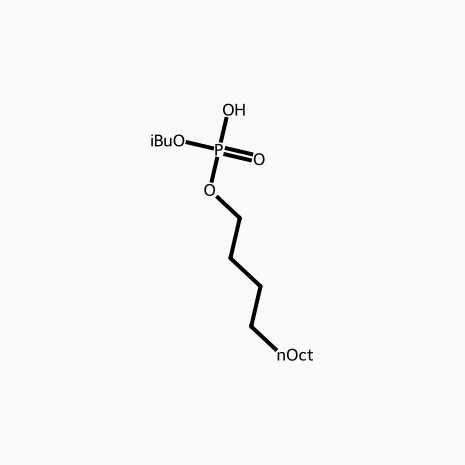 CCCCCCCCCCCCOP(=O)(O)OCC(C)C